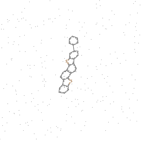 c1ccc(-c2ccc3c(c2)sc2c3ccc3c2ccc2c4ccccc4sc23)cc1